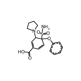 NS(=O)(=O)C1(Oc2ccccc2)C=CC(C(=O)O)=CC1N1CCCC1